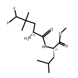 COC(=O)[C@H](CC(C)C)NC(=O)[C@H](N)CC(C)(C)C(F)F